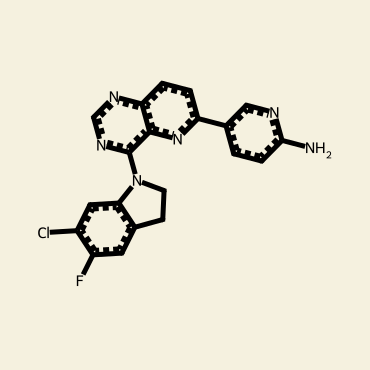 Nc1ccc(-c2ccc3ncnc(N4CCc5cc(F)c(Cl)cc54)c3n2)cn1